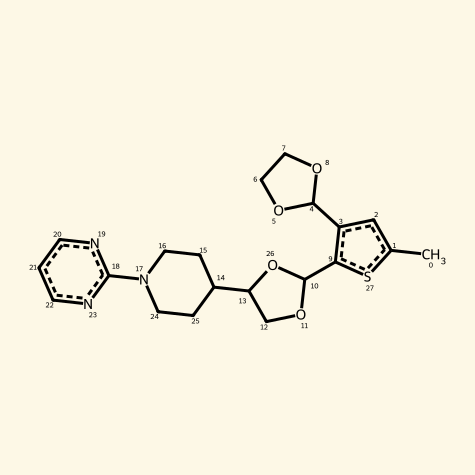 Cc1cc(C2OCCO2)c(C2OCC(C3CCN(c4ncccn4)CC3)O2)s1